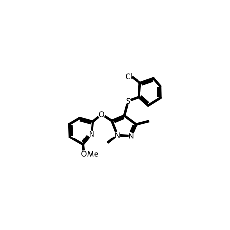 COc1cccc(Oc2c(Sc3ccccc3Cl)c(C)nn2C)n1